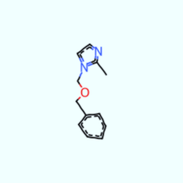 Cc1nccn1COCc1ccccc1